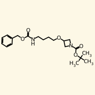 CC(C)(C)OC(=O)N1CC(OCCCCNC(=O)OCc2ccccc2)C1